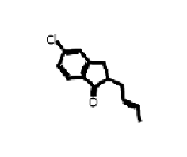 C/C=C/CC1Cc2cc(Cl)ccc2C1=O